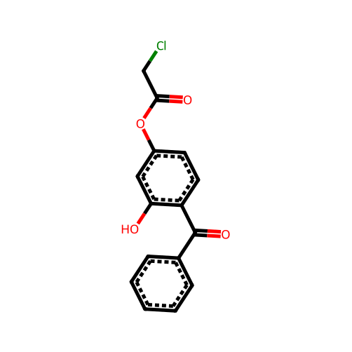 O=C(CCl)Oc1ccc(C(=O)c2ccccc2)c(O)c1